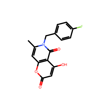 Cc1cc2oc(=O)cc(O)c2c(=O)n1Cc1ccc(F)cc1